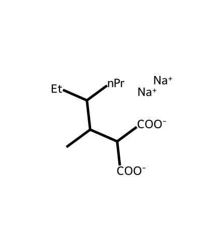 CCCC(CC)C(C)C(C(=O)[O-])C(=O)[O-].[Na+].[Na+]